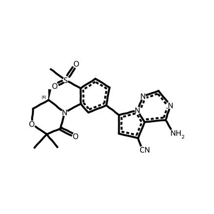 C[C@@H]1COC(C)(C)C(=O)N1c1cc(-c2cc(C#N)c3c(N)ncnn23)ccc1S(C)(=O)=O